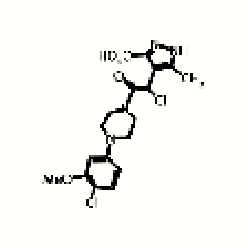 COc1cc(N2CCN(C(=O)C(Cl)c3c(C(=O)O)n[nH]c3C)CC2)ccc1Cl